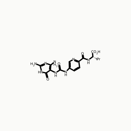 CC(C)[C@H](NC(=O)c1ccc(NC(=O)Nc2c(N)nc(N)[nH]c2=O)cn1)C(=O)O